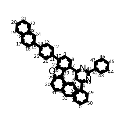 c1ccc(-c2cc(-c3ccc(-c4ccc(-c5ccc6ccccc6c5)cc4)c4oc5ccc6ccccc6c5c34)nc(-c3ccccc3)n2)cc1